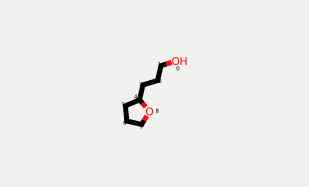 OCCC[C]1CCCO1